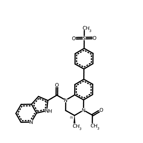 CC(=O)N1c2ccc(-c3ccc(S(C)(=O)=O)cc3)cc2N(C(=O)c2cc3cccnc3[nH]2)C[C@@H]1C